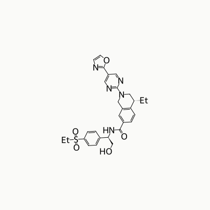 CC[C@H]1CN(c2ncc(-c3ncco3)cn2)Cc2cc(C(=O)N[C@@H](CO)c3ccc(S(=O)(=O)CC)cc3)ccc21